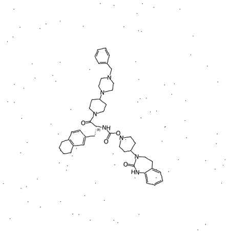 O=C(N[C@H](Cc1ccc2c(c1)CCCC2)C(=O)N1CCC(N2CCN(Cc3ccccc3)CC2)CC1)ON1CCC(N2CCc3ccccc3NC2=O)CC1